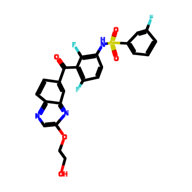 O=C(c1ccc2ncc(OCCO)nc2c1)c1c(F)ccc(NS(=O)(=O)c2cccc(F)c2)c1F